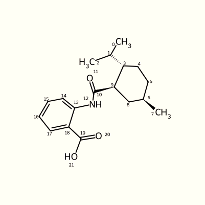 CC(C)[C@@H]1CC[C@@H](C)C[C@H]1C(=O)Nc1ccccc1C(=O)O